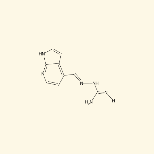 [H]/N=C(\N)NN=Cc1ccnc2[nH]ccc12